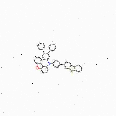 c1ccc(-c2ccc(N(c3ccc(-c4ccc5c(c4)sc4ccccc45)cc3)c3cccc4oc5ccccc5c34)cc2-c2ccccc2)cc1